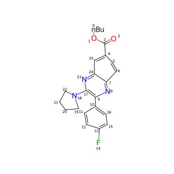 CCCCOC(=O)c1ccc2nc(-c3ccc(F)cc3)c(N3CCCC3)nc2c1